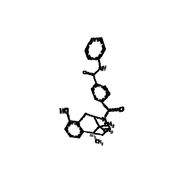 CC1(C)C2Cc3c(O)cccc3[C@]1(C)CCN2C(=O)c1ccc(C(=O)Nc2ccccc2)cc1